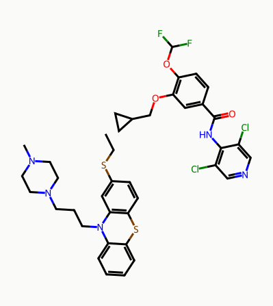 CCSc1ccc2c(c1)N(CCCN1CCN(C)CC1)c1ccccc1S2.O=C(Nc1c(Cl)cncc1Cl)c1ccc(OC(F)F)c(OCC2CC2)c1